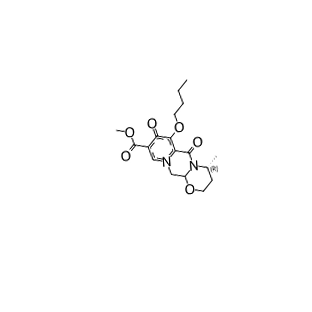 CCCCOc1c2n(cc(C(=O)OC)c1=O)CC1OCC[C@@H](C)N1C2=O